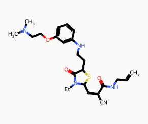 C=CCNC(=O)C(C#N)CC1SC(CCNc2cccc(OCCN(C)C)c2)C(=O)N1CC